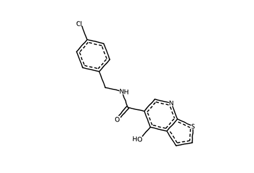 O=C(NCc1ccc(Cl)cc1)c1cnc2sccc2c1O